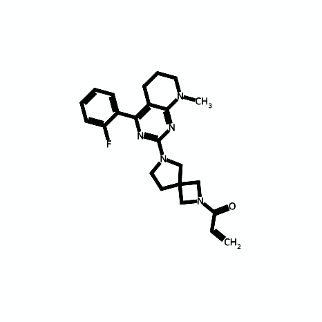 C=CC(=O)N1CC2(CCN(c3nc(-c4ccccc4F)c4c(n3)N(C)CCC4)C2)C1